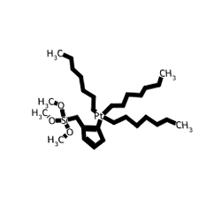 CCCCCC[CH2][Pt]([CH2]CCCCCC)([CH2]CCCCCC)[C]1=C(C[Si](OC)(OC)OC)C=CC1